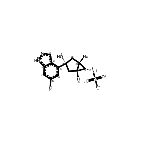 CCS(=O)(=O)N[C@@H]1[C@@H]2C[C@@](O)(c3cc(Cl)cc4[nH]ncc34)C[C@@H]21